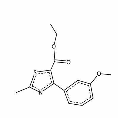 CCOC(=O)c1sc(C)nc1-c1cccc(OC)c1